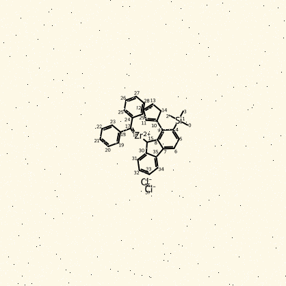 C[Si](C)(C)c1ccc2c(c1C1=CC=CC1)[CH]([Zr+2]=[C](c1ccccc1)c1ccccc1)c1ccccc1-2.[Cl-].[Cl-]